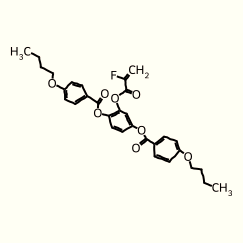 C=C(F)C(=O)Oc1cc(OC(=O)c2ccc(OCCCC)cc2)ccc1OC(=O)c1ccc(OCCCC)cc1